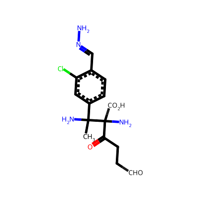 CC(N)(c1ccc(C=NN)c(Cl)c1)C(N)(C(=O)O)C(=O)CCC=O